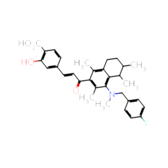 Cc1c2c(c(N(C)Cc3ccc(F)cc3)c(C)c1C(=O)C=Cc1ccc(C(=O)O)c(O)c1)C(C)C(C)CC2